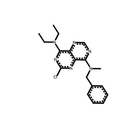 CCN(CC)c1nc(Cl)nc2c(N(C)Cc3ccccc3)ncnc12